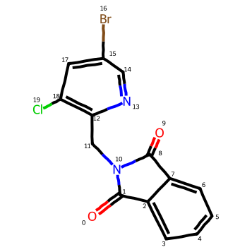 O=C1c2ccccc2C(=O)N1Cc1ncc(Br)cc1Cl